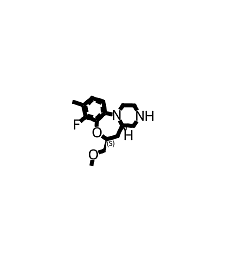 COC[C@@H]1C[C@@H]2CNCCN2c2ccc(C)c(F)c2O1